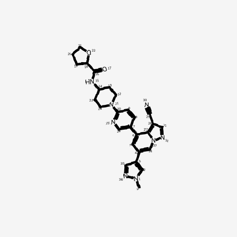 Cn1cc(-c2cc(-c3ccc(N4CCC(NC(=O)C5CCCO5)CC4)nc3)c3c(C#N)cnn3c2)cn1